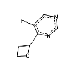 Fc1cn[c]nc1C1CCO1